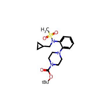 CC(C)(C)OC(=O)N1CCN(c2ccccc2N(CC2CC2)S(C)(=O)=O)CC1